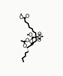 CCCCC[C@@H](C#CCC(CCCCCCC(=O)OC)(C(=O)OC)S(C)(=O)=O)OC(C)=O